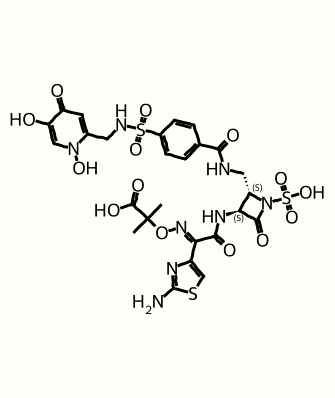 CC(C)(ON=C(C(=O)N[C@@H]1C(=O)N(S(=O)(=O)O)[C@H]1CNC(=O)c1ccc(S(=O)(=O)NCc2cc(=O)c(O)cn2O)cc1)c1csc(N)n1)C(=O)O